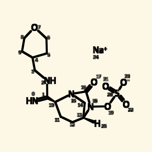 N=C(NCC1CCOCC1)[C@@H]1CC[C@@H]2CN1C(=O)N2OS(=O)(=O)[O-].[Na+]